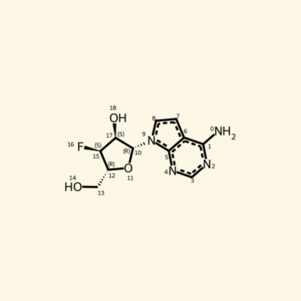 Nc1ncnc2c1ccn2[C@@H]1O[C@H](CO)[C@@H](F)[C@H]1O